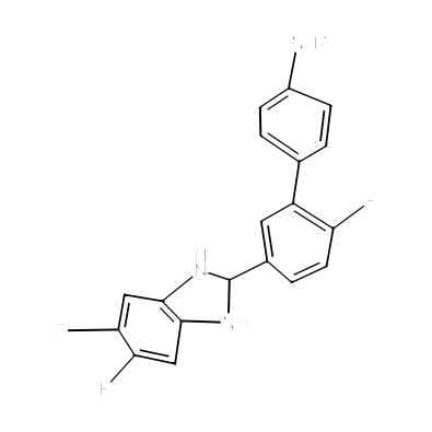 CC(=O)Nc1ccc(-c2cc(C3Nc4cc(F)c(F)cc4N3)ccc2F)cc1